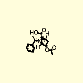 CC(=O)O[C@@H]1C[C@@H]2C[C@H]1N([C@H](C)c1ccccc1)[C@@H]2C(=O)O